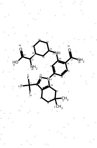 CC1(C)CCc2c(C(F)(F)F)nn(-c3ccc(C(N)=O)c(NC4CCC[C@H](C(N)C(=O)O)C4)c3)c2C1